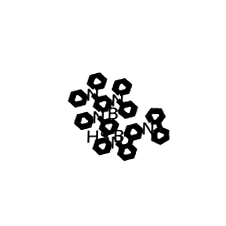 Sc1cc2c(cc1B1c3ccc(-n4c5ccccc5c5ccccc54)cc3-c3ccccc3N1c1ccccc1)B1c3ccccc3N(c3ccccc3)c3cc(N(c4ccccc4)c4ccccc4)cc(c31)N2c1ccccc1